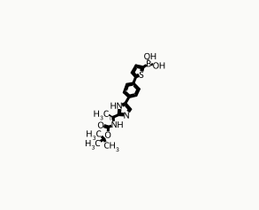 C[C@H](NC(=O)OC(C)(C)C)c1ncc(-c2ccc(-c3ccc(B(O)O)s3)cc2)[nH]1